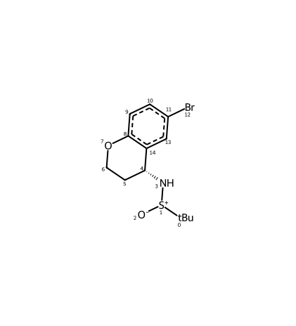 CC(C)(C)[S+]([O-])N[C@@H]1CCOc2ccc(Br)cc21